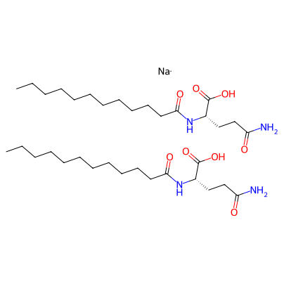 CCCCCCCCCCCC(=O)N[C@@H](CCC(N)=O)C(=O)O.CCCCCCCCCCCC(=O)N[C@@H](CCC(N)=O)C(=O)O.[Na]